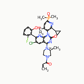 C=CC(=O)N1CCN(c2nc(=O)n(-c3c(C)cc(P(C)(C)=O)nc3C3CC3)c3nc(-c4c(O)cccc4F)c(Cl)cc23)[C@@H](C)C1